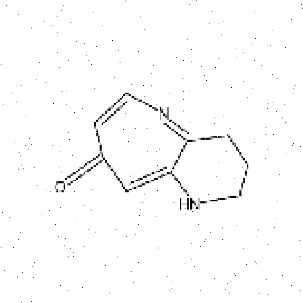 O=c1ccnc2c(c1)NCCC2